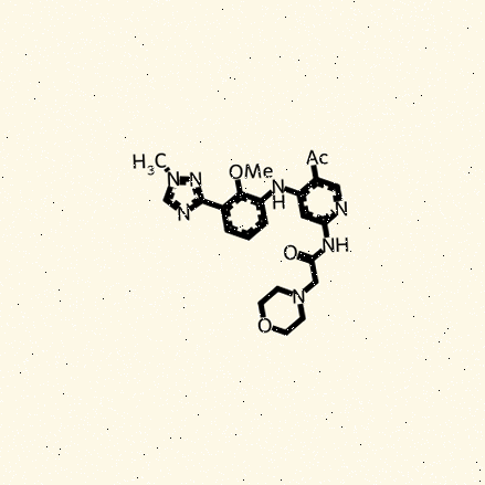 COc1c(Nc2cc(NC(=O)CN3CCOCC3)ncc2C(C)=O)cccc1-c1ncn(C)n1